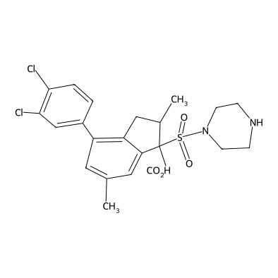 Cc1cc(-c2ccc(Cl)c(Cl)c2)c2c(c1)C(C(=O)O)(S(=O)(=O)N1CCNCC1)C(C)C2